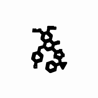 COc1cc2c(=O)c(-c3noc(C4(c5ccccc5)CC4)n3)cn(Cc3ccc(Cl)cc3)c2cc1OC